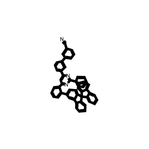 N#Cc1cccc(-c2cccc(-c3cc(-c4ccccc4-c4ccc5c(c4)-c4ccccc4C54c5ccccc5-c5ccccc54)nc(-c4ccccc4)n3)c2)c1